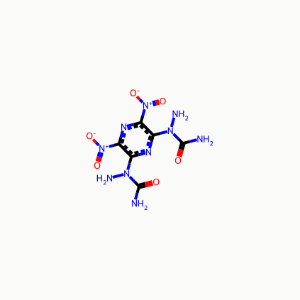 NC(=O)N(N)c1nc(N(N)C(N)=O)c([N+](=O)[O-])nc1[N+](=O)[O-]